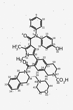 Cc1c(C(=O)N(c2ccccc2)c2ccc(O)cc2)cc(-c2cc3c(cc2C(=O)N2Cc4ccccc4C[C@H]2CN2CCOCC2)CN(C(=O)O)CC3)n1C